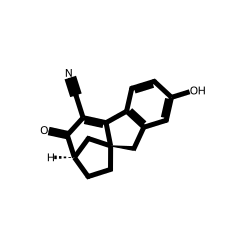 N#CC1=C2c3ccc(O)cc3C[C@]23CC[C@H](C3)C1=O